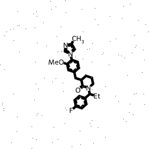 CCC(c1ccc(F)cc1)N1CCCC(Cc2ccc(-n3cnc(C)c3)c(OC)c2)C1=O